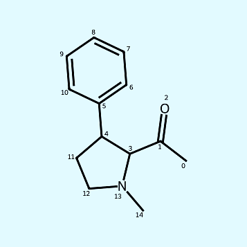 CC(=O)C1C(c2ccccc2)CCN1C